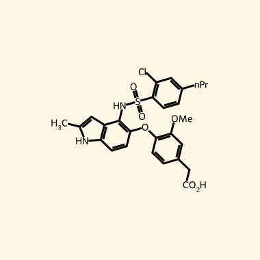 CCCc1ccc(S(=O)(=O)Nc2c(Oc3ccc(CC(=O)O)cc3OC)ccc3[nH]c(C)cc23)c(Cl)c1